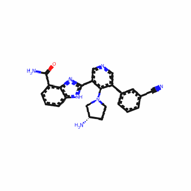 N#Cc1cccc(-c2cncc(-c3nc4c(C(N)=O)cccc4[nH]3)c2N2CC[C@H](N)C2)c1